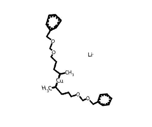 C[CH](CCCOCOCc1ccccc1)[Cu][CH](C)CCCOCOCc1ccccc1.[Li]